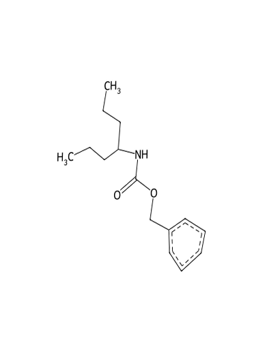 CCCC(CCC)NC(=O)OCc1ccccc1